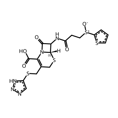 O=C(CC[S+]([O-])c1cccs1)NC1C(=O)N2C(C(=O)O)=C(CSc3cnn[nH]3)CS[C@@H]12